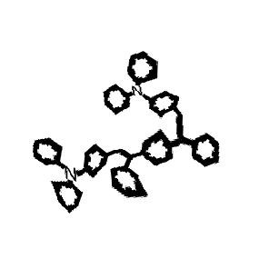 C(=C(c1ccccc1)c1ccc(C(=Cc2ccc(N(c3ccccc3)c3ccccc3)cc2)c2ccccc2)cc1)c1ccc(N(c2ccccc2)c2ccccc2)cc1